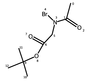 CC(=O)N(Br)CC(=O)OC(C)(C)C